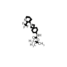 CC(C)(C)OC(=O)NC1CCC2(CC1)CN(c1cccnc1C(F)(F)F)C2